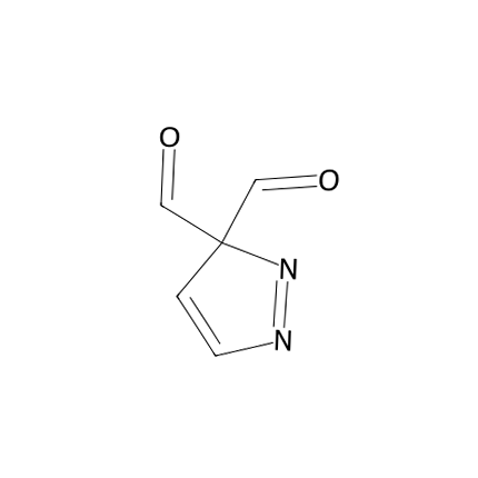 O=CC1(C=O)C=CN=N1